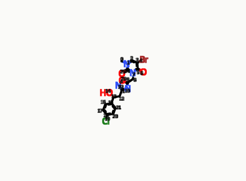 Cn1cc(Br)c(=O)n(Cc2nc(CC(O)c3ccc(Cl)cc3)no2)c1=O